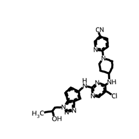 CC(O)Cn1nnc2cc(Nc3ncc(Cl)c(NC4CCN(c5ccc(C#N)cn5)CC4)n3)ccc21